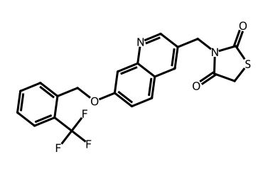 O=C1CSC(=O)N1Cc1cnc2cc(OCc3ccccc3C(F)(F)F)ccc2c1